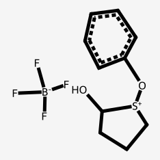 F[B-](F)(F)F.OC1CCC[S+]1Oc1ccccc1